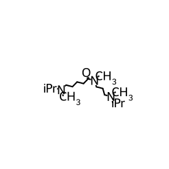 CC(C)N(C)CCCCC(=O)N(C)CCCN(C)C(C)C